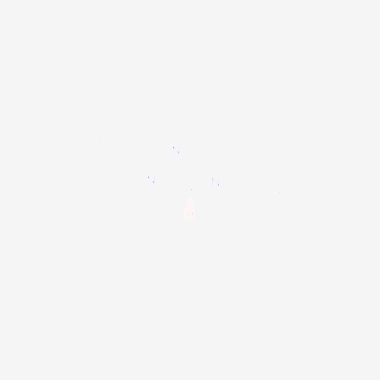 O=C(NC(C1CC1)C1CC1)c1ncc2c(F)cccn12